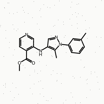 COC(=O)c1ccncc1Nc1cnn(-c2cccc(C)c2)c1C